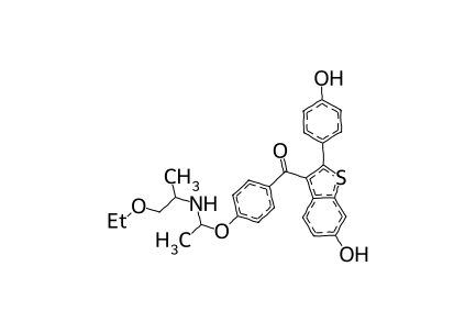 CCOCC(C)NC(C)Oc1ccc(C(=O)c2c(-c3ccc(O)cc3)sc3cc(O)ccc23)cc1